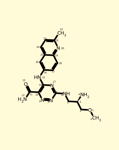 COC[C@H](N)CNc1nnc(C(N)=O)c(Nc2ccc3nc(C)ccc3c2)n1